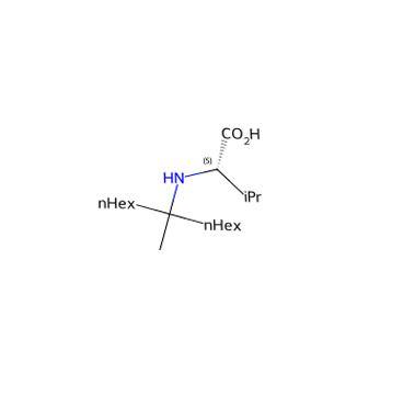 CCCCCCC(C)(CCCCCC)N[C@H](C(=O)O)C(C)C